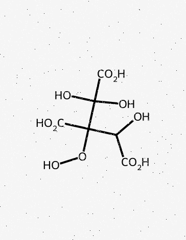 O=C(O)C(O)C(OO)(C(=O)O)C(O)(O)C(=O)O